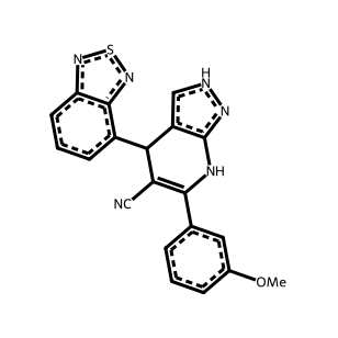 COc1cccc(C2=C(C#N)C(c3cccc4nsnc34)c3c[nH]nc3N2)c1